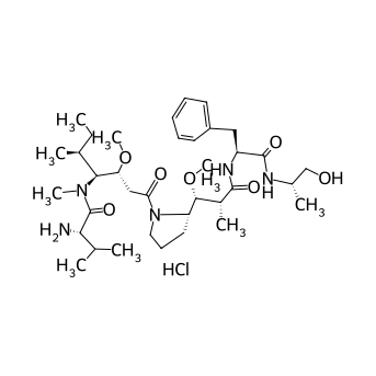 CC[C@H](C)[C@@H]([C@@H](CC(=O)N1CCC[C@H]1[C@H](OC)[C@@H](C)C(=O)N[C@@H](Cc1ccccc1)C(=O)N[C@@H](C)CO)OC)N(C)C(=O)[C@@H](N)C(C)C.Cl